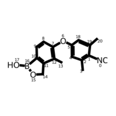 [C-]#[N+]c1c(C)cc(Oc2ccc3c(c2C)COB3O)cc1C